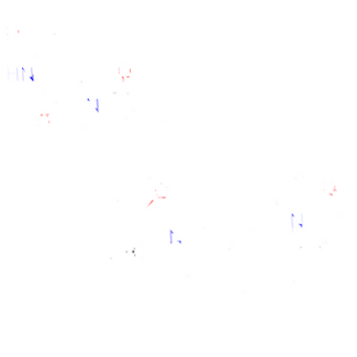 O=C1CCC(N2Cc3cc(O[C@@H]4CCCC[C@H]4N4CC(c5cccc(N6CCOCC6)c5)C4)ccc3C2=O)C(=O)N1